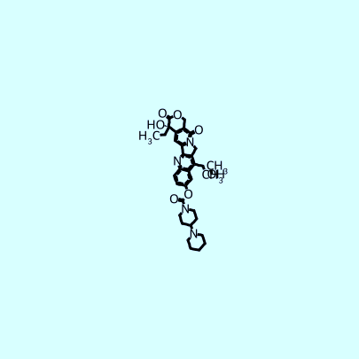 CCc1c2c(nc3ccc(OC(=O)N4CCC(N5CCCCC5)CC4)cc13)-c1cc3c(c(=O)n1C2)COC(=O)[C@]3(O)CC.CO